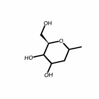 CC1CC(O)C(O)[C@@H](CO)O1